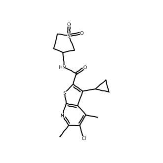 Cc1nc2sc(C(=O)NC3CCS(=O)(=O)C3)c(C3CC3)c2c(C)c1Cl